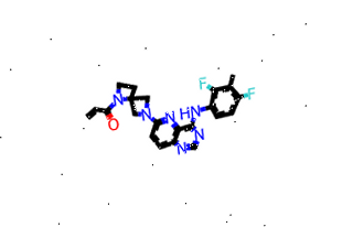 C=CC(=O)N1CCC12CN(c1ccc3ncnc(Nc4ccc(F)c(C)c4F)c3n1)C2